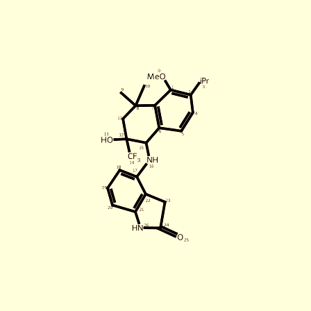 COc1c(C(C)C)ccc2c1C(C)(C)CC(O)(C(F)(F)F)C2Nc1cccc2c1CC(=O)N2